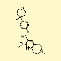 COc1nc2c(cc1NSc1ccc(C3(F)CCOCC3)cc1)CCN(C)CC2